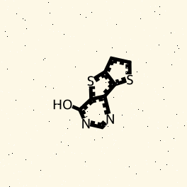 Oc1ncnc2c1sc1ccsc12